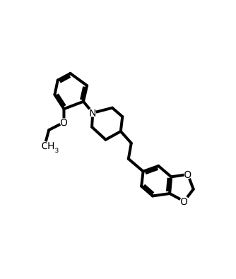 CCOc1ccccc1N1CCC(CCc2ccc3c(c2)OCO3)CC1